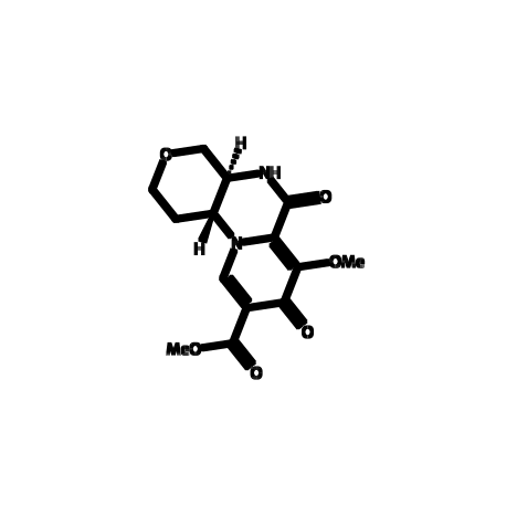 COC(=O)c1cn2c(c(OC)c1=O)C(=O)N[C@@H]1COCC[C@H]12